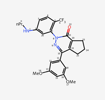 CCCNc1ccc(C(F)(F)F)c(-n2nc(-c3cc(OC)cc(OC)c3)c3c(c2=O)CCC3)c1